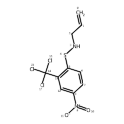 C=CCNSc1ccc([N+](=O)[O-])cc1C(Cl)(Cl)Cl